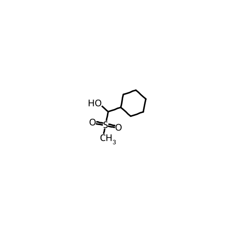 CS(=O)(=O)C(O)C1CCCCC1